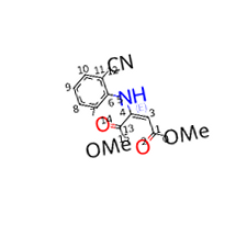 COC(=O)/C=C(/Nc1ccccc1C#N)C(=O)OC